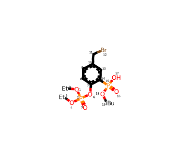 CCOP(=O)(OCC)Oc1ccc(CBr)cc1P(=O)(O)OC(C)CC